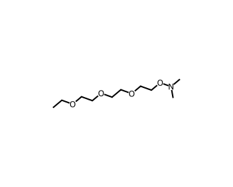 CCOCCOCCOCCON(C)C